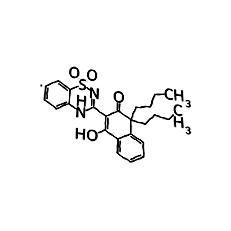 CCCCC1(CCCC)C(=O)C(C2=NS(=O)(=O)c3c[c]ccc3N2)=C(O)c2ccccc21